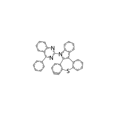 c1ccc2c(c#1)Sc1ccccc1-c1c-2n(-c2nc(-c3ccccc3)c3ccccc3n2)c2ccccc12